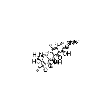 CCC(=O)C1=C(O)C(N)C2Cc3c(c(O)c4c(O)c(ON=[N+]=[N-])ccc4c3C)C(=O)C2(O)C1=O